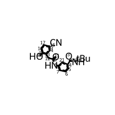 CC(C)(C)NC(=O)c1cccc(NC(=O)Cc2cc(C#N)ccc2O)c1